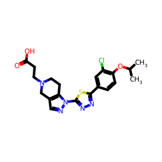 CC(C)Oc1ccc(-c2nnc(-n3ncc4c3CCN(CCC(=O)O)C4)s2)cc1Cl